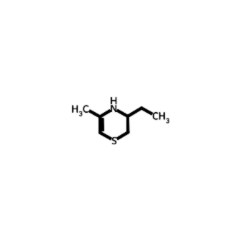 CCC1CSC=C(C)N1